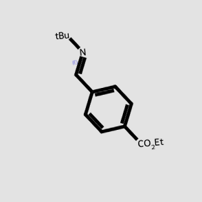 CCOC(=O)c1ccc(/C=N/C(C)(C)C)cc1